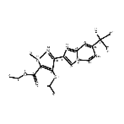 CCOC(=O)c1c(SCC)c(-c2cn3cnc(C(F)(F)F)cc3n2)nn1C